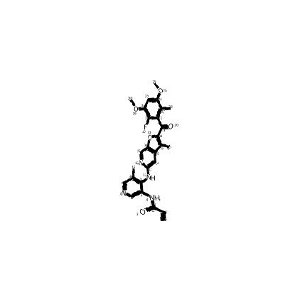 C=CC(=O)Nc1cncc(C)c1Nc1cc2c(C)c(C(=O)c3c(C)c(OC)cc(OC)c3F)oc2cn1